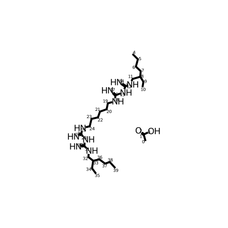 CC(=O)O.CCCCC(CC)CNC(=N)NC(=N)NCCCCCCNC(=N)NC(=N)NCC(CC)CCCC